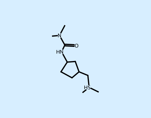 CN(C)C(=O)NC1CCC(C[SH](C)C)C1